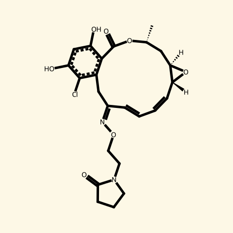 C[C@@H]1C[C@H]2O[C@@H]2\C=C/C=C/C(=N\OCCN2CCCC2=O)Cc2c(Cl)c(O)cc(O)c2C(=O)O1